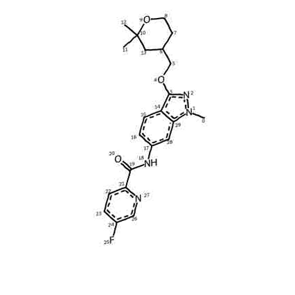 Cn1nc(OCC2CCOC(C)(C)C2)c2ccc(NC(=O)c3ccc(F)cn3)cc21